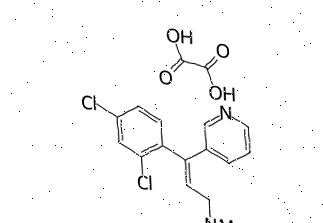 CNC/C=C(\c1cccnc1)c1ccc(Cl)cc1Cl.O=C(O)C(=O)O